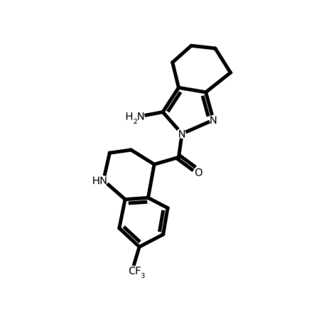 Nc1c2c(nn1C(=O)C1CCNc3cc(C(F)(F)F)ccc31)CCCC2